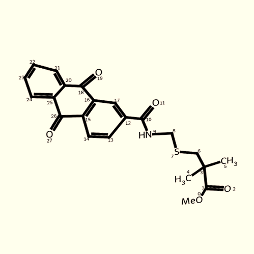 COC(=O)C(C)(C)CSCNC(=O)c1ccc2c(c1)C(=O)c1ccccc1C2=O